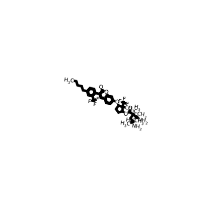 CCCCCc1ccc(-c2cc3ccc(OC4CCC(OC(=O)C(C)(CC(C)(C)N)C(C)(C)N)C4(C)C(F)(F)F)cc3oc2=O)c(C(F)(F)F)c1